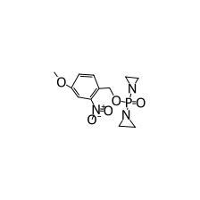 COc1ccc(COP(=O)(N2CC2)N2CC2)c([N+](=O)[O-])c1